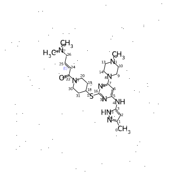 Cc1cc(Nc2cc(N3CCN(C)CC3)nc(SC3CCN(C(=O)/C=C/CN(C)C)CC3)n2)[nH]n1